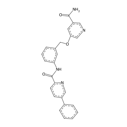 NC(=O)c1cncc(OCc2cccc(NC(=O)c3ccc(-c4ccccc4)cn3)c2)c1